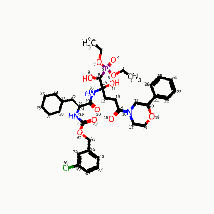 CCOP(=O)(OCC)C(O)C(O)(CCC(=O)N1CCOC(c2ccccc2)C1)NC(=O)[C@H](CC1CCCCC1)NC(=O)OCc1cccc(Cl)c1